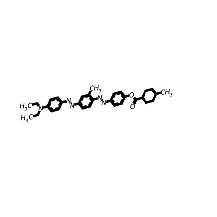 CCN(CC)c1ccc(N=Nc2ccc(N=Nc3ccc(OC(=O)C4CCC(C)CC4)cc3)c(C)c2)cc1